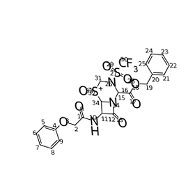 O=C(COc1ccccc1)NC1C(=O)N2C(C(=O)OCc3ccccc3)N(S(=O)(=O)C(F)(F)F)C[S+]([O-])C12